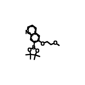 COCCOc1cc2cccnc2cc1B1OC(C)(C)C(C)(C)O1